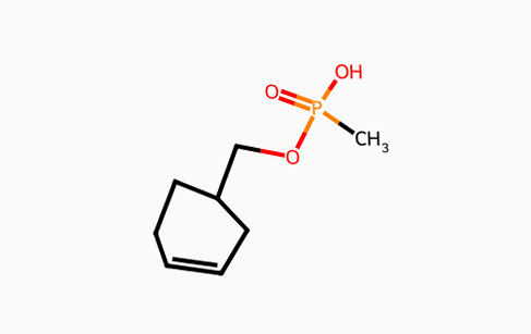 CP(=O)(O)OCC1CC=CCC1